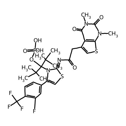 Cn1c(=O)c2c(CC(=O)N=c3scc(-c4ccc(C(F)(F)F)c(F)c4)n3C(OP(=O)(O)O)(C(C)(C)C)C(C)(C)C)csc2n(C)c1=O